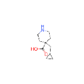 O=C(O)C1(CC2CC2)CCNCC1